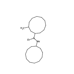 CCN(NC1CCCCCCCCCC1)C1CCCCCCCCC(C)C1